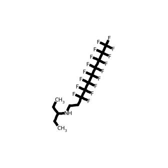 CCC(CC)NCCC(F)(F)C(F)(F)C(F)(F)C(F)(F)C(F)(F)C(F)(F)C(F)(F)C(F)(F)F